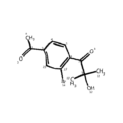 CC(=O)c1ccc(C(=O)C(C)(C)O)c(Br)c1